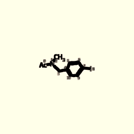 CC(=O)N(C)Cc1ccc(I)cc1